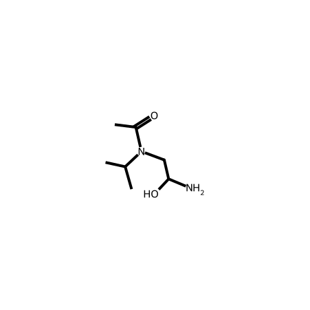 CC(=O)N(CC(N)O)C(C)C